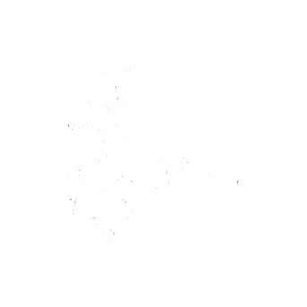 C=CC(=O)Nc1ccc(-c2c(-c3ccc(C(=O)NC4CC4)c(OC)c3)c3c(N)ncc(C#N)c3n2CC)cc1